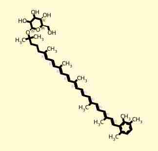 CC(/C=C/C=C(C)/C=C/C=C(\C)CCCC(C)(C)O[C@@H]1O[C@H](CO)[C@@H](O)C(O)C1O)=C\C=C\C=C(C)\C=C\C=C(C)\C=C\c1c(C)ccc(C)c1C